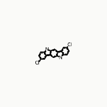 Clc1ccc2c(c1)=c1cc3c(cc1N=2)=c1cc(Cl)ccc1=N3